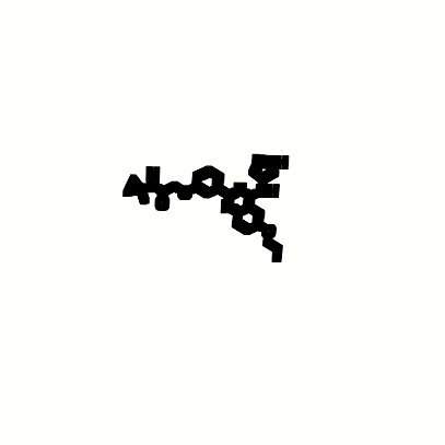 CCCOc1ccc2nc(-c3cccc(OCC(=O)NC4(C)CC4)c3)nc(Nc3cn[nH]c3)c2c1